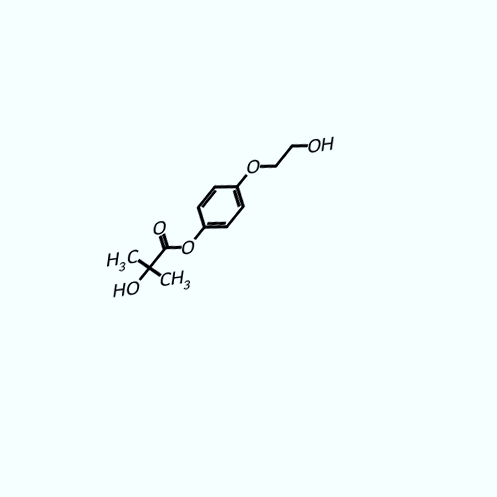 CC(C)(O)C(=O)Oc1ccc(OCCO)cc1